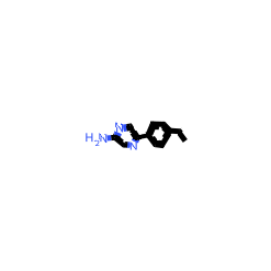 CCc1ccc(-c2cnc(N)cn2)cc1